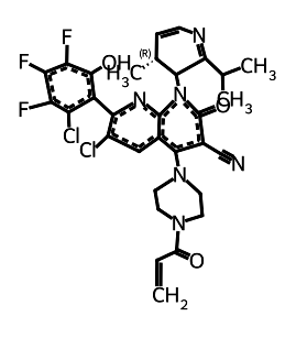 C=CC(=O)N1CCN(c2c(C#N)c(=O)n(C3C(C(C)C)=NC=C[C@H]3C)c3nc(-c4c(O)c(F)c(F)c(F)c4Cl)c(Cl)cc23)CC1